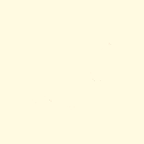 CCCNC(=O)c1ccc2c(c1)C(=O)N(CC1Cc3c(sc(NC(=O)C(=O)O)c3C(=O)O)CO1)C2=O